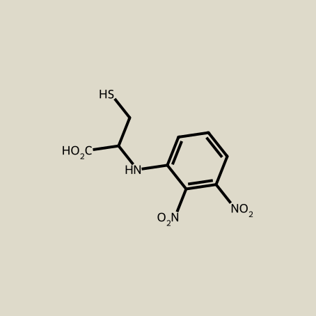 O=C(O)C(CS)Nc1cccc([N+](=O)[O-])c1[N+](=O)[O-]